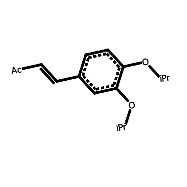 CC(=O)C=Cc1ccc(OC(C)C)c(OC(C)C)c1